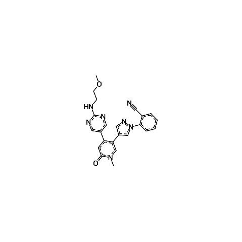 COCCNc1ncc(-c2cc(=O)n(C)cc2-c2cnn(-c3ccccc3C#N)c2)cn1